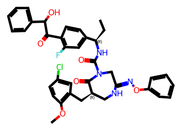 CC[C@@H](NC(=O)N1CC(=NOc2ccccc2)NC[C@@H](Cc2cc(Cl)ccc2OC)C1=O)c1ccc(C(=O)C(O)c2ccccc2)c(F)c1